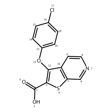 O=C(O)c1sc2cnccc2c1Oc1ccc(Cl)cc1